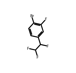 Fc1cc(C(F)C(F)F)ccc1Br